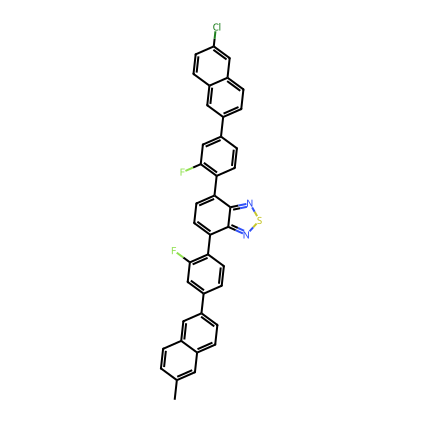 Cc1ccc2cc(-c3ccc(-c4ccc(-c5ccc(-c6ccc7cc(Cl)ccc7c6)cc5F)c5nsnc45)c(F)c3)ccc2c1